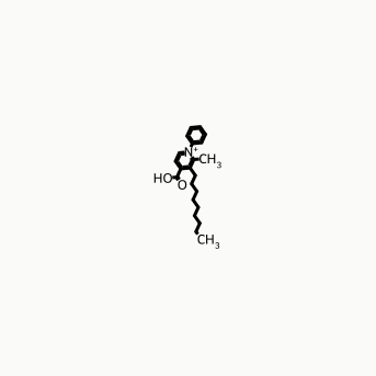 CCCCCCCCCc1c(C(=O)O)cc[n+](-c2ccccc2)c1C